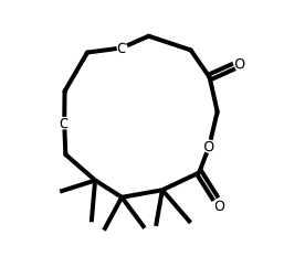 CC1(C)CCCCCCCC(=O)COC(=O)C(C)(C)C1(C)C